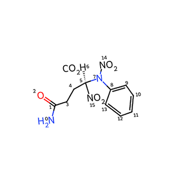 NC(=O)CC[C@@](C(=O)O)(N(c1ccccc1)[N+](=O)[O-])[N+](=O)[O-]